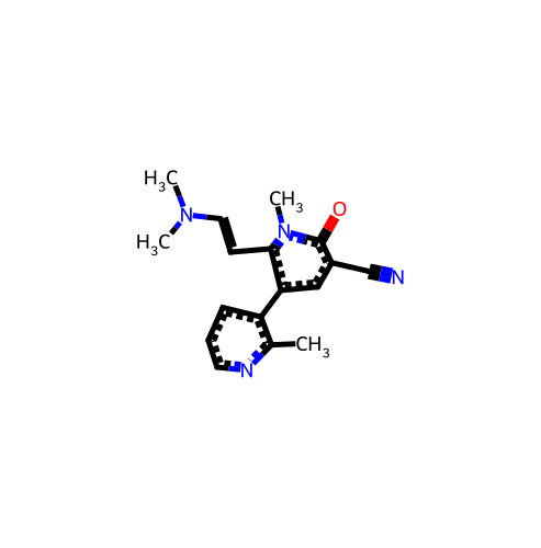 Cc1ncccc1-c1cc(C#N)c(=O)n(C)c1C=CN(C)C